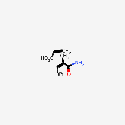 C=CC(=O)O.CCCC=C(C)C(N)=O